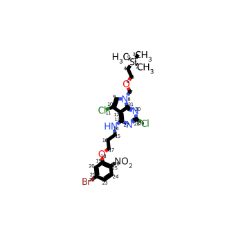 C[Si](C)(C)CCOCn1cc(Cl)c2c(NCCCOc3cc(Br)ccc3[N+](=O)[O-])nc(Cl)nc21